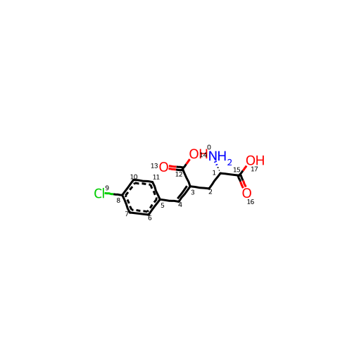 N[C@@H](C/C(=C/c1ccc(Cl)cc1)C(=O)O)C(=O)O